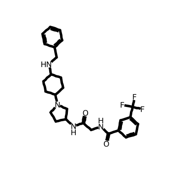 O=C(CNC(=O)c1cccc(C(F)(F)F)c1)NC1CCN(C2CCC(NCc3ccccc3)CC2)C1